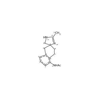 CC(=O)Nc1cccc2c1CCC1(CNC(C)=N1)C2